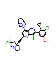 Oc1cc(Cl)c(C2CC2)c(-c2ncc3c(N4CC5CCC(C4)N5)cc(C#CC45CCCN4CC(F)(F)C5)nc3c2F)c1